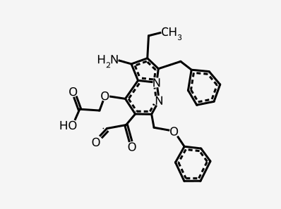 CCc1c(N)c2c(OCC(=O)O)c(C(=O)[C]=O)c(COc3ccccc3)nn2c1Cc1ccccc1